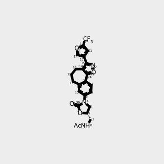 CC(=O)NC[C@H]1CN(c2ccc3c(c2)CCCc2c(-c4coc(C(F)(F)F)c4)noc2-3)C(=O)O1